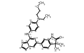 CCN(CCOC)c1ccc(Nc2nc(-c3ccc4c(c3)NC(=O)C4(C)C)cn3ccnc23)cn1